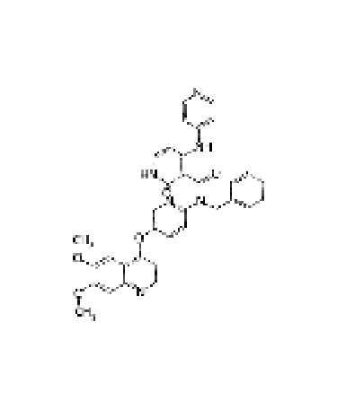 COc1cc2nccc(Oc3ccc(N(Cc4ccccc4)C(=O)c4c(Nc5ccncc5)cc[nH]c4=O)nc3)c2cc1OC